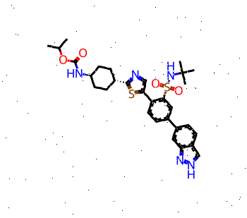 CC(C)OC(=O)N[C@H]1CC[C@H](c2ncc(-c3ccc(-c4ccc5c[nH]nc5c4)cc3S(=O)(=O)NC(C)(C)C)s2)CC1